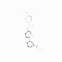 CC(C)[C@H]1CC[C@@H](NCc2ccc(-c3cccc(C(N)=O)c3)nc2)CC1